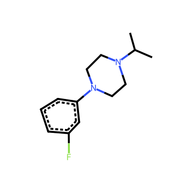 CC(C)N1CCN(c2cccc(F)c2)CC1